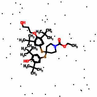 CCOC(=O)N1CCC(Sc2cc(C(C)(C)C)c(O)c(C(C)(C)C)c2)(Sc2cc(C(C)(C)C)c(OCCCO)c(C(C)(C)C)c2)CC1